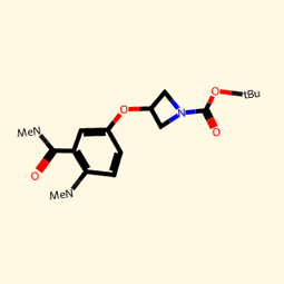 CNC(=O)c1cc(OC2CN(C(=O)OC(C)(C)C)C2)ccc1NC